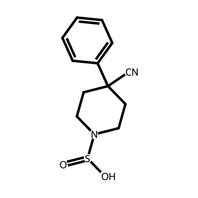 N#CC1(c2ccccc2)CCN(S(=O)O)CC1